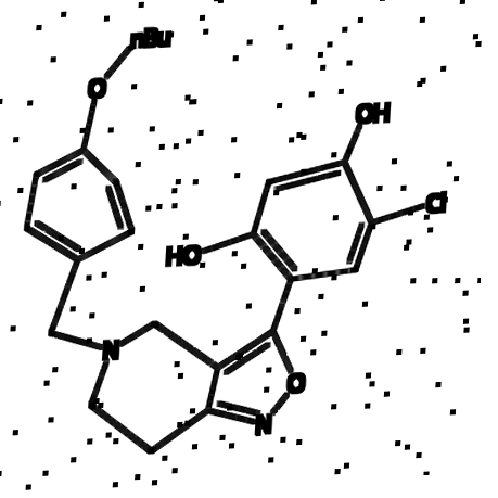 CCCCOc1ccc(CN2CCc3noc(-c4cc(Cl)c(O)cc4O)c3C2)cc1